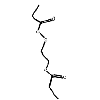 CCC(=O)OCCOOC(=O)CC